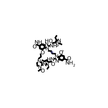 CCc1nc(C)sc1C(O)Nc1nc2cc(C(N)=O)cc(OCCCN3CCN(C(C)=O)CC3)c2n1C/C=C/Cn1c(NC(=O)c2cc(C)nn2CC)nc2cc(C(N)=O)cc(OC)c21